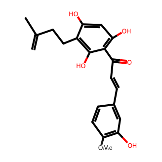 C=C(C)CCc1c(O)cc(O)c(C(=O)/C=C/c2ccc(OC)c(O)c2)c1O